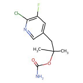 CC(C)(Cc1cnc(Cl)c(F)c1)OC(N)=O